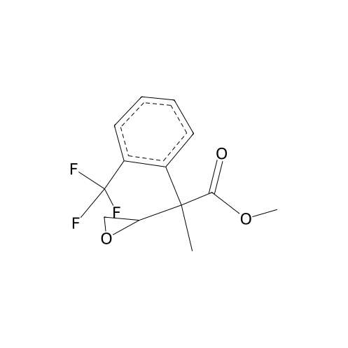 COC(=O)C(C)(c1ccccc1C(F)(F)F)C1CO1